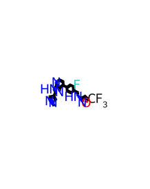 Cn1cc(-c2nc3c(-c4ccc(CNc5cc(C(F)(F)F)on5)c(F)c4)ccnc3[nH]2)cn1